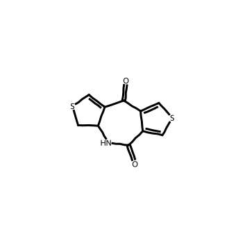 O=C1NC2CSC=C2C(=O)c2cscc21